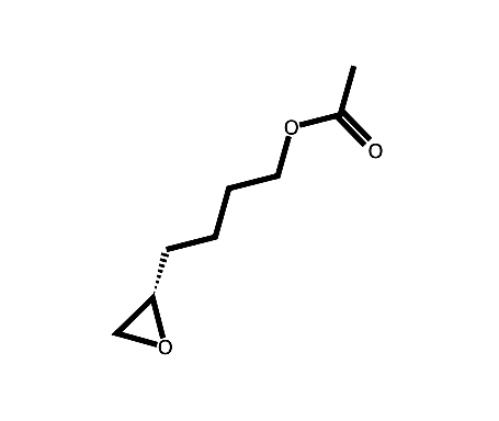 CC(=O)OCCCC[C@H]1CO1